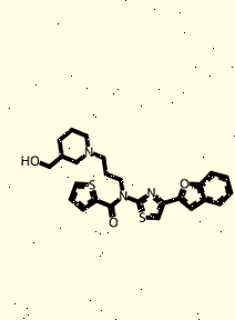 O=C(c1cccs1)N(CCCN1CCCC(CO)C1)c1nc(-c2cc3ccccc3o2)cs1